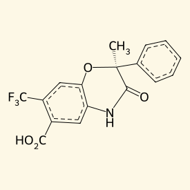 C[C@@]1(c2ccccc2)Oc2cc(C(F)(F)F)c(C(=O)O)cc2NC1=O